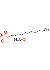 C=O.CCCCCCCCCCCCS(=O)(=O)O